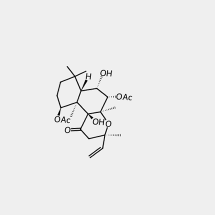 C=C[C@@]1(C)CC(=O)[C@]2(O)[C@@]3(C)[C@@H](OC(C)=O)CCC(C)(C)[C@@H]3[C@H](O)[C@H](OC(C)=O)[C@@]2(C)O1